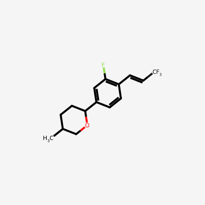 CC1CCC(c2ccc(/C=C/C(F)(F)F)c(F)c2)OC1